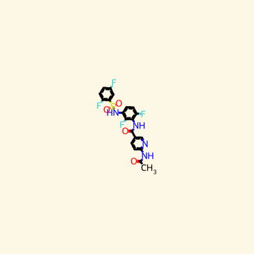 CC(=O)Nc1ccc(C(=O)Nc2c(F)ccc(NS(=O)(=O)c3cc(F)ccc3F)c2F)cn1